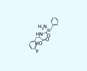 N[C@H](Cc1ccccc1)C(=O)NC(Cc1cccc(F)c1)C(=O)O